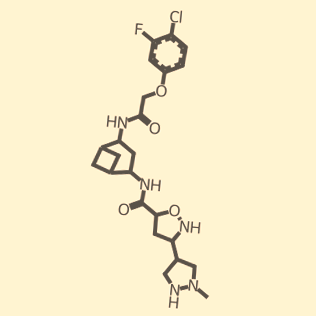 CN1CC(C2CC(C(=O)NC3CC(NC(=O)COc4ccc(Cl)c(F)c4)C4CC3C4)ON2)CN1